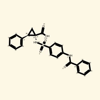 O=C(Nc1ccc(S(=O)(=O)N[C@@]2(C(=O)O)C[C@@H]2c2ccccc2)cc1)c1ccccc1